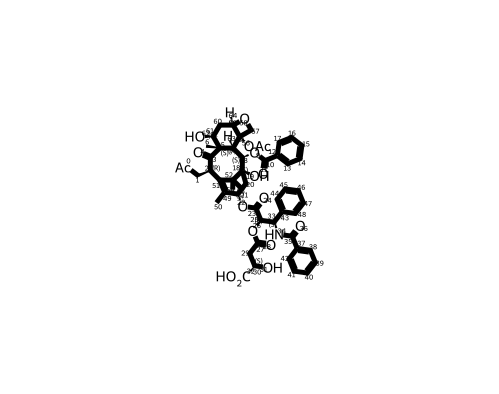 CC(=O)C[C@H]1C(=O)[C@@]2(C)[C@H]([C@H](OC(=O)c3ccccc3)[C@]3(O)C[C@H](OC(=O)[C@H](OC(=O)C[C@H](O)C(=O)O)[C@@H](NC(=O)c4ccccc4)c4ccccc4)C(C)=C1C3(C)C)[C@]1(OC(C)=O)CO[C@@H]1C[C@@H]2O